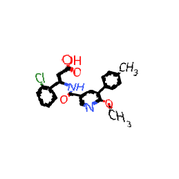 COc1ncc(C(=O)NC(CC(=O)O)c2ccccc2Cl)cc1-c1ccc(C)cc1